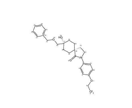 O=C1N(c2ccc(OCC(F)(F)F)cc2)CC[C@]12CC[C@](O)(COCc1ccccc1)CC2